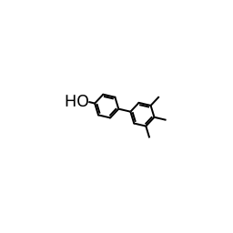 Cc1cc(-c2ccc(O)cc2)cc(C)c1C